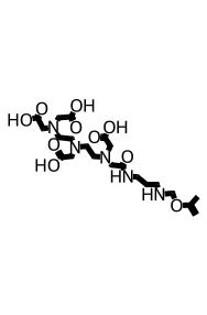 C=C(C)OCNCCCNC(=O)CN(CCN(CCN(CC(=O)O)CC(=O)O)CC(=O)O)CC(=O)O